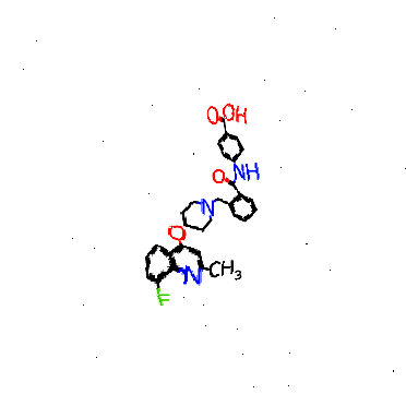 Cc1cc(OC2CCN(Cc3ccccc3C(=O)Nc3ccc(C(=O)O)cc3)CC2)c2cccc(F)c2n1